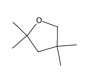 CC1(C)COC(C)(C)C1